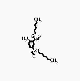 CCCCCCON(C=O)c1ccc(C)c(N(C=O)OCCCCCC)c1